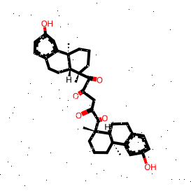 C[C@]1(C(=O)C(=O)CC(=O)C(=O)[C@@]2(C)CCC[C@]3(C)c4cc(O)ccc4CC[C@@H]23)CCC[C@]2(C)c3cc(O)ccc3CC[C@@H]12